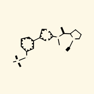 CN(C(=O)C1CCCN1C#N)c1nc(-c2cccc(NS(C)(=O)=O)c2)cs1